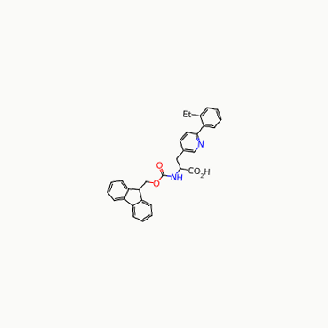 CCc1ccccc1-c1ccc(CC(NC(=O)OCC2c3ccccc3-c3ccccc32)C(=O)O)cn1